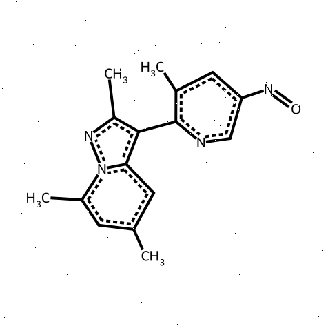 Cc1cc(C)n2nc(C)c(-c3ncc(N=O)cc3C)c2c1